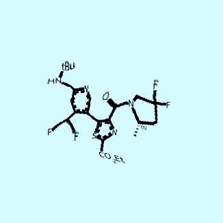 CCOC(=O)c1nc(C(=O)N2CC(F)(F)C[C@@H]2C)c(-c2cnc(NC(C)(C)C)cc2C(F)F)s1